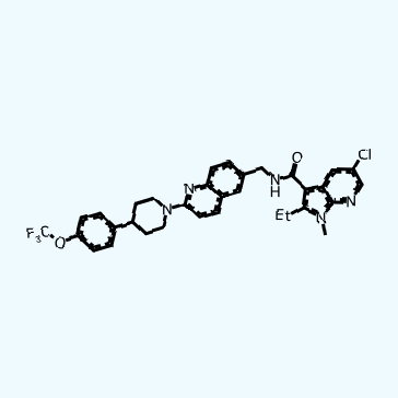 CCc1c(C(=O)NCc2ccc3nc(N4CCC(c5ccc(OC(F)(F)F)cc5)CC4)ccc3c2)c2cc(Cl)cnc2n1C